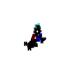 CC1(C)[C@H]2CC[C@@H](CC(=O)Nn3c(C4CC4)nc4cc(C(F)(F)F)ccc4c3=O)[C@@H]1C2